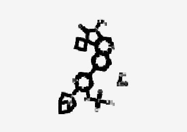 CN1C(=O)C2(CCC2)c2c1cnc1ccc(-c3cnc(N4CC5CC(C4)N5)c(NS(C)(=O)=O)c3)cc21.O=CO